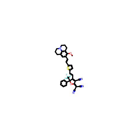 COc1c(/C=C/c2ccc(/C=C/C3=C(C#N)C(=C(C#N)C#N)OC3(c3ccccc3)C(F)(F)F)s2)cc2c3c1CCCN3CCC2